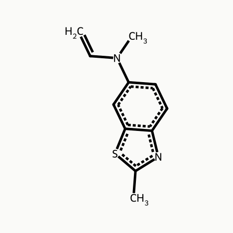 C=CN(C)c1ccc2nc(C)sc2c1